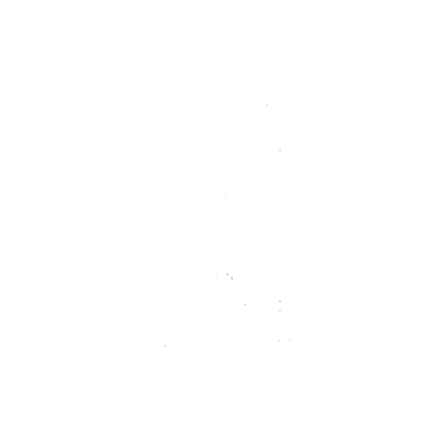 CCOc1c(NCC=CCP(=O)(O)OC(C)CC)c(=O)c1=O